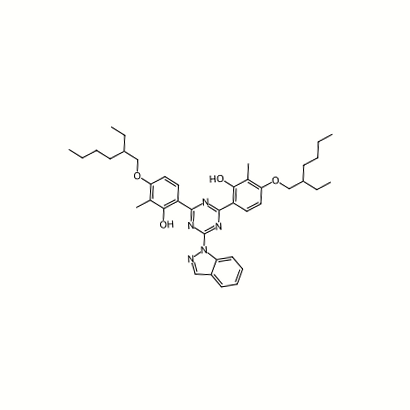 CCCCC(CC)COc1ccc(-c2nc(-c3ccc(OCC(CC)CCCC)c(C)c3O)nc(-n3ncc4ccccc43)n2)c(O)c1C